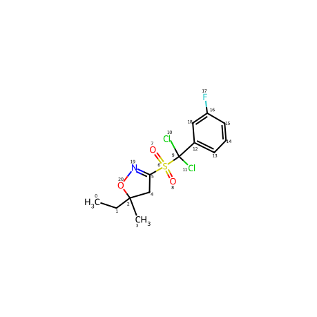 CCC1(C)CC(S(=O)(=O)C(Cl)(Cl)c2cccc(F)c2)=NO1